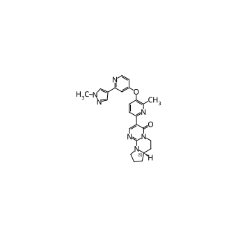 Cc1nc(-c2cnc3n(c2=O)CC[C@@H]2CCCN32)ccc1Oc1ccnc(-c2cnn(C)c2)c1